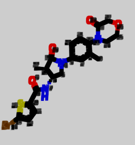 Cc1cc(N2C[C@H](NC(=O)c3ccc(Br)s3)[C@@H](C)C2=O)ccc1N1CCOCC1=O